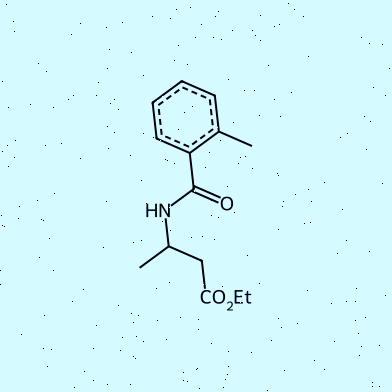 CCOC(=O)CC(C)NC(=O)c1ccccc1C